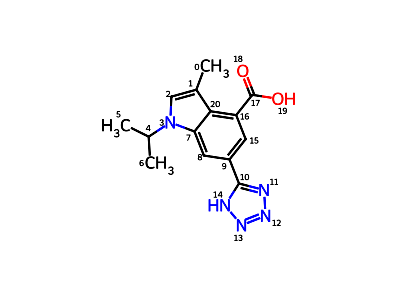 Cc1cn(C(C)C)c2cc(-c3nnn[nH]3)cc(C(=O)O)c12